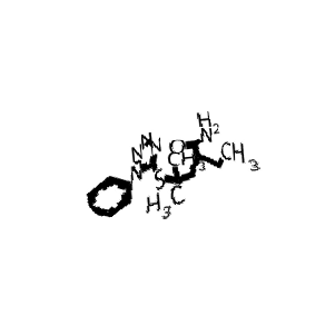 CCC(CC(C)(C)Sc1nnnn1-c1ccccc1)C(N)=O